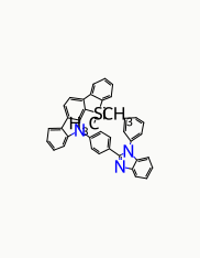 C[Si]1(C)c2ccccc2-c2ccc3c4ccccc4n(-c4ccc(-c5nc6ccccc6n5-c5ccccc5)cc4)c3c21